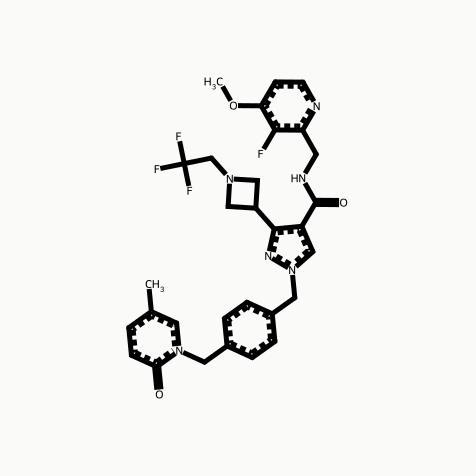 COc1ccnc(CNC(=O)c2cn(Cc3ccc(Cn4cc(C)ccc4=O)cc3)nc2C2CN(CC(F)(F)F)C2)c1F